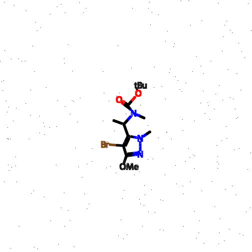 COc1nn(C)c(C(C)N(C)C(=O)OC(C)(C)C)c1Br